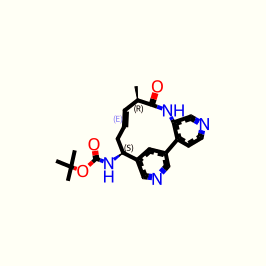 C[C@@H]1/C=C/C[C@H](NC(=O)OC(C)(C)C)c2cncc(c2)-c2ccncc2NC1=O